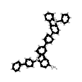 Cc1ccc2c(c1)c1cc(-c3ccc(-c4ccc5c(c4)c4ccccc4n5-c4ccccc4)cc3)ccc1n2-c1ccc(-c2ccccc2)cc1